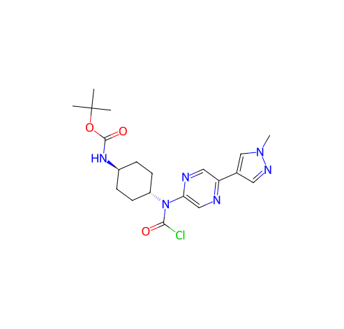 Cn1cc(-c2cnc(N(C(=O)Cl)[C@H]3CC[C@H](NC(=O)OC(C)(C)C)CC3)cn2)cn1